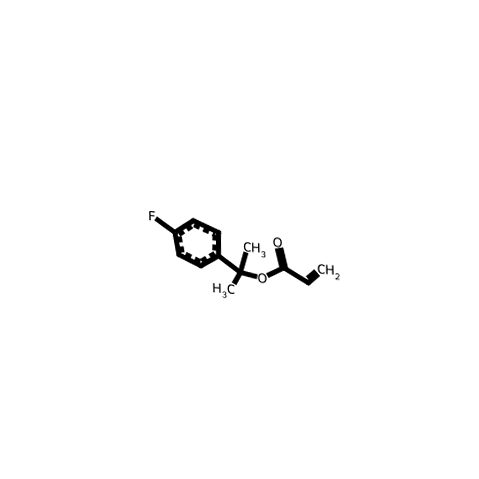 C=CC(=O)OC(C)(C)c1ccc(F)cc1